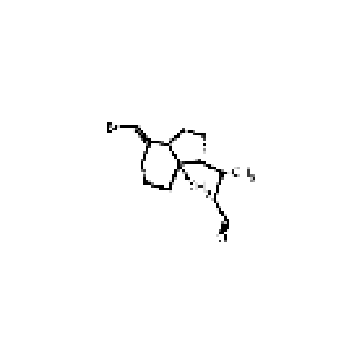 C[C@H](CC=O)[C@H]1CCC2C(=CBr)CCC[C@]21C